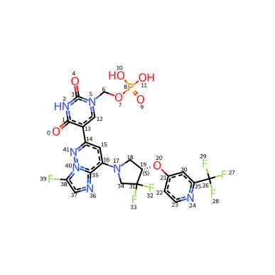 O=c1[nH]c(=O)n(COP(=O)(O)O)cc1-c1cc(N2C[C@H](Oc3ccnc(C(F)(F)F)c3)C(F)(F)C2)c2ncc(F)n2n1